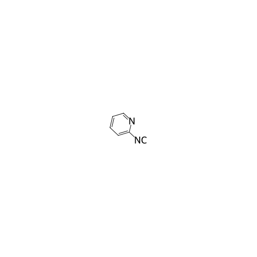 [C-]#[N+]c1ccccn1